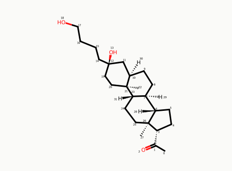 CC(=O)[C@H]1CC[C@H]2[C@@H]3CC[C@@H]4C[C@@](O)(CCCCO)CC[C@]4(C)[C@H]3CC[C@]12C